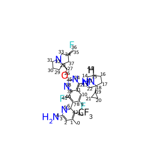 Cc1cc(N)nc(-c2c(F)cc3c(N4C[C@@H]5CC[C@](C6CC6)(C4)N5)nc(OC[C@@]45CCCN4C/C(=C\F)C5)nc3c2F)c1C(F)(F)F